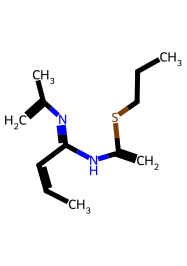 C=C(C)/N=C(\C=C/C)NC(=C)SCCC